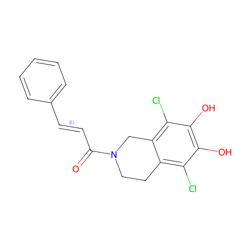 O=C(/C=C/c1ccccc1)N1CCc2c(Cl)c(O)c(O)c(Cl)c2C1